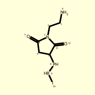 NCCN1C(=O)CC(PBI)C1=O